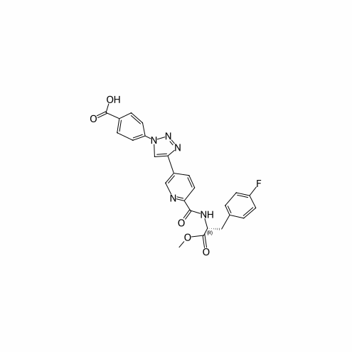 COC(=O)[C@@H](Cc1ccc(F)cc1)NC(=O)c1ccc(-c2cn(-c3ccc(C(=O)O)cc3)nn2)cn1